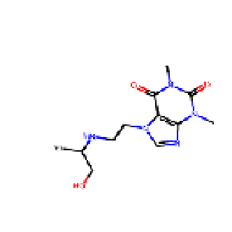 CCC(CO)NCCn1cnc2c1c(=O)n(C)c(=O)n2C